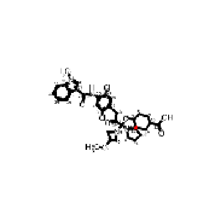 COC1CN(C(OC2CCC(C(=O)O)CC2)(C(=O)Cc2cc(Cl)c(NC(=O)c3cn(C)c4ccccc34)cc2Cl)N2CCCC2)C1